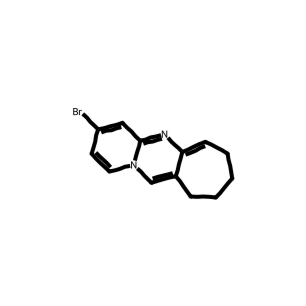 BrC1=CC2=NC3=CCCCCC3=CN2C=C1